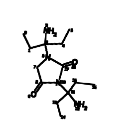 CCC(N)(CC)N1CC(=O)N(C(N)(CC)CC)C1=O